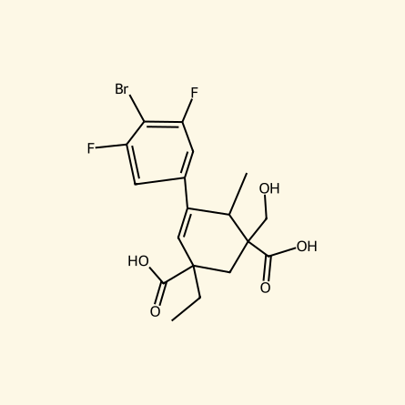 CCC1(C(=O)O)C=C(c2cc(F)c(Br)c(F)c2)C(C)C(CO)(C(=O)O)C1